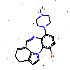 CN1CCN(c2ccc(Br)c3c2N=CC2=CCCc4ccn-3c42)CC1